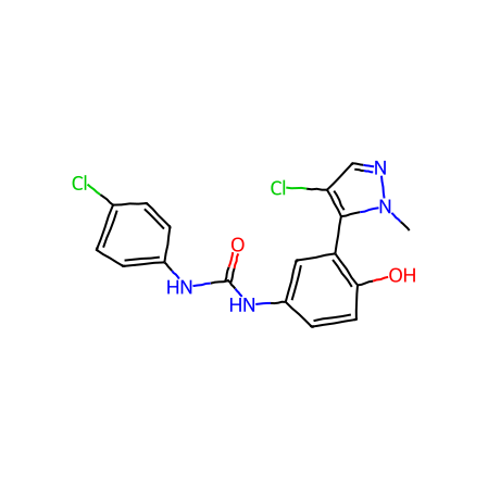 Cn1ncc(Cl)c1-c1cc(NC(=O)Nc2ccc(Cl)cc2)ccc1O